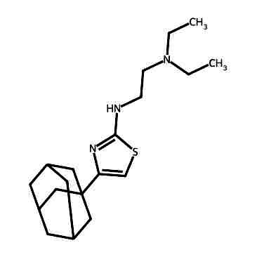 CCN(CC)CCNc1nc(C23CC4CC(CC(C4)C2)C3)cs1